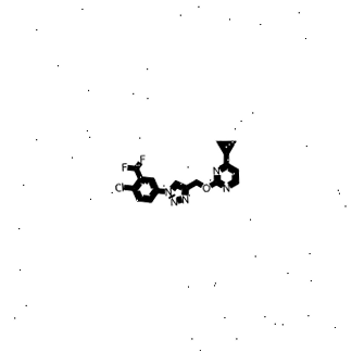 FC(F)c1cc(-n2cc(COc3nccc(C4CC4)n3)nn2)ccc1Cl